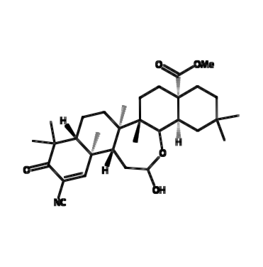 [C-]#[N+]C1=C[C@]2(C)[C@H]3CC(O)OC4[C@@H]5CC(C)(C)CC[C@]5(C(=O)OC)CC[C@@]4(C)[C@]3(C)CC[C@H]2C(C)(C)C1=O